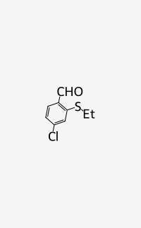 CCSc1cc(Cl)ccc1C=O